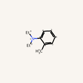 CCN(CC)c1cc[c]cc1C